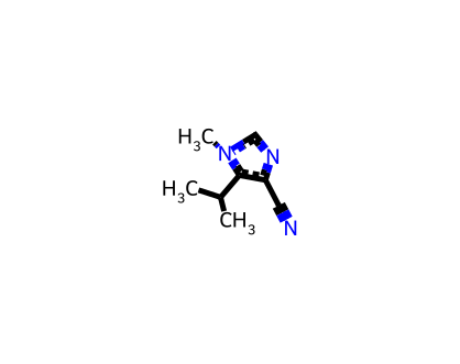 CC(C)c1c(C#N)ncn1C